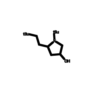 CC(C)(C)CCC1CC(O)CN1C(C)(C)C